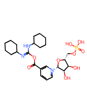 O=C(O/C(=N/C1CCCCC1)NC1CCCCC1)c1ccc[n+]([C@@H]2O[C@H](COP(=O)(O)O)[C@@H](O)[C@H]2O)c1